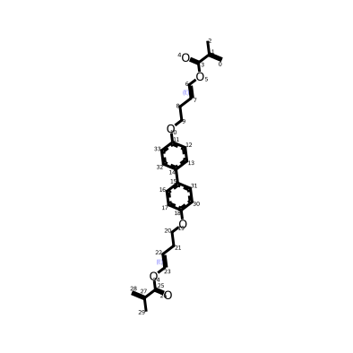 C=C(C)C(=O)O/C=C/CCOc1ccc(-c2ccc(OCC/C=C/OC(=O)C(=C)C)cc2)cc1